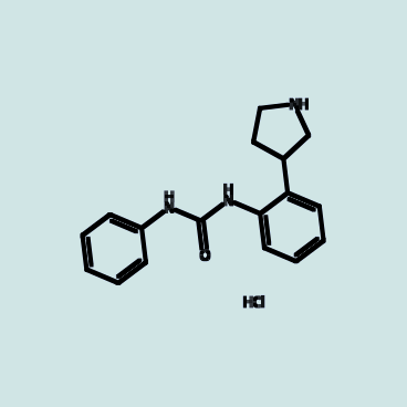 Cl.O=C(Nc1ccccc1)Nc1ccccc1C1CCNC1